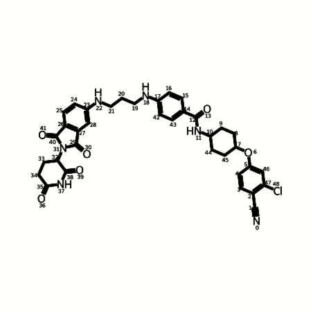 N#Cc1ccc(OC2CCC(NC(=O)c3ccc(NCCCNc4ccc5c(c4)C(=O)N(C4CCC(=O)NC4=O)C5=O)cc3)CC2)cc1Cl